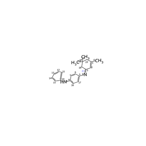 CC1=C/C(=N/c2ccc(Nc3ccccc3)cc2)CC(C)(C)C1